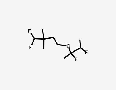 CC(F)C(C)(F)OCCC(C)(C)C(F)F